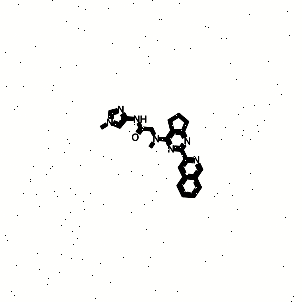 CN(CC(=O)Nc1cn(C)cn1)c1nc(-c2cc3ccccc3cn2)nc2c1CCC2